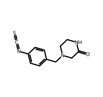 O=C1CN(Cc2ccc(N=C=S)cc2)CCN1